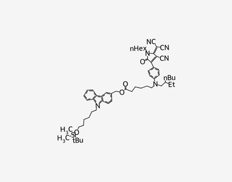 CCCCCCN1C(=O)C(c2ccc(N(CCCCCC(=O)OCc3ccc4c(c3)c3ccccc3n4CCCCCCO[Si](C)(C)C(C)(C)C)CC(CC)CCCC)cc2)=C(C#N)C1=C(C#N)C#N